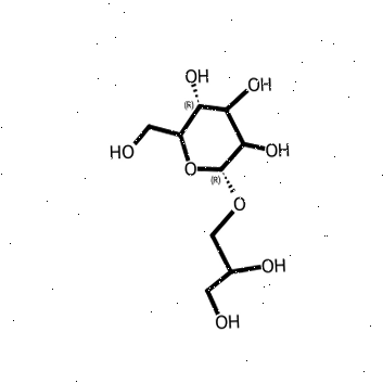 OCC(O)CO[C@@H]1OC(CO)[C@H](O)C(O)C1O